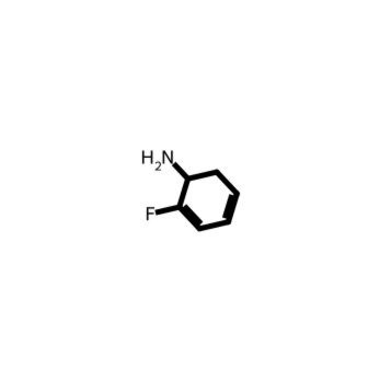 NC1CC=CC=C1F